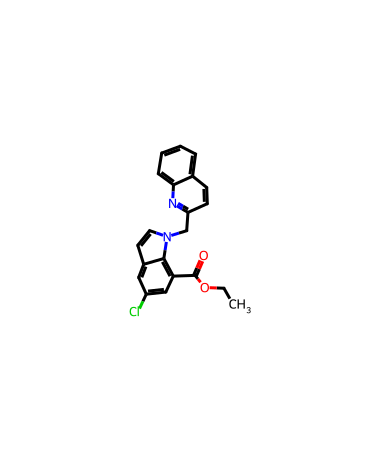 CCOC(=O)c1cc(Cl)cc2ccn(Cc3ccc4ccccc4n3)c12